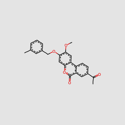 COc1cc2c(cc1OCc1cccc(C)c1)oc(=O)c1cc(C(C)=O)ccc12